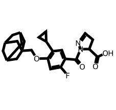 O=C(O)C1CC=NN1C(=O)c1cc(C2CC2)c(OCC23CC4CC(CC(C4)C2)C3)cc1F